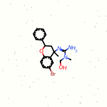 CN(CO)/C(N)=N\C1(C)CC(c2ccccc2)Oc2ccc(Br)cc21